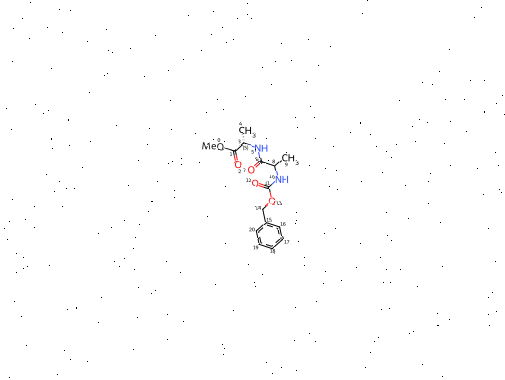 COC(=O)[C@H](C)NC(=O)C(C)NC(=O)OCc1ccccc1